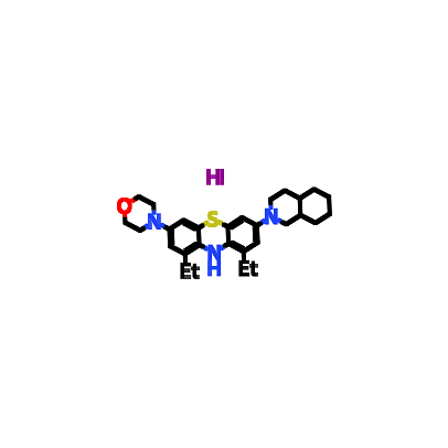 CCc1cc(N2CCOCC2)cc2c1Nc1c(CC)cc(N3CCC4CCCCC4C3)cc1S2.I